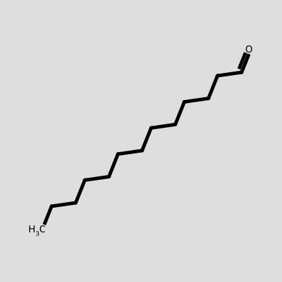 CCCCCCCCCCCCC=O